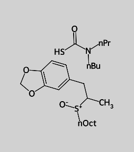 CCCCCCCC[S+]([O-])C(C)Cc1ccc2c(c1)OCO2.CCCCN(CCC)C(=O)S